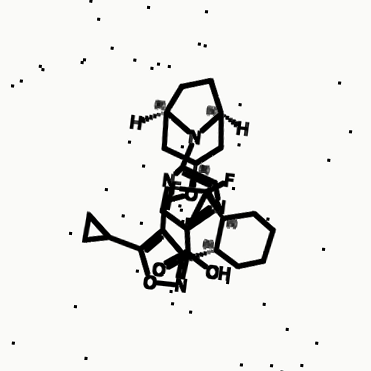 O=C(O)c1cnc(N2[C@@H]3CC[C@H]2C[C@@H](OCc2c([C@H]4CCCC[C@@H]4C(F)(F)F)noc2C2CC2)C3)cn1